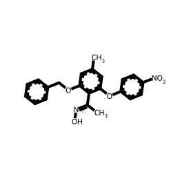 C/C(=N\O)c1c(OCc2ccccc2)cc(C)cc1Oc1ccc([N+](=O)[O-])cc1